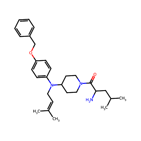 CC(C)=CCN(c1ccc(OCc2ccccc2)cc1)C1CCN(C(=O)C(N)CC(C)C)CC1